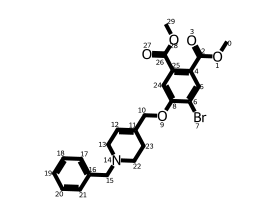 COC(=O)c1cc(Br)c(OCC2=CCN(Cc3ccccc3)CC2)cc1C(=O)OC